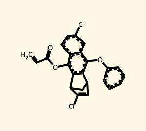 C=CC(=O)Oc1c2c(c(Oc3ccccc3)c3cc(Cl)ccc13)C1C=C(Cl)C2C1